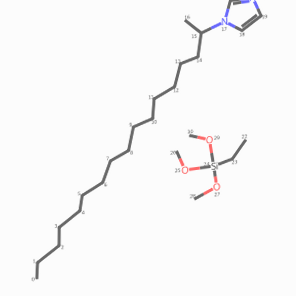 CCCCCCCCCCCCCCCC(C)n1ccnc1.CC[Si](OC)(OC)OC